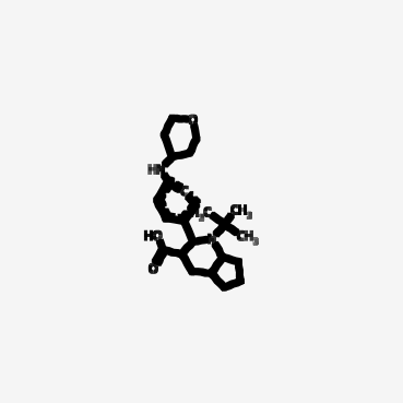 CC(C)(C)N1C2CCCC2CC(C(=O)O)C1c1ccc(NC2CCOCC2)cc1